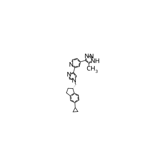 Cc1[nH]nnc1-c1ccnc(-c2cn(C[C@H]3CCc4cc(C5CC5)ccc43)cn2)c1